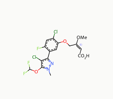 CO/C(=C/C(=O)O)COc1cc(-c2nn(C)c(OC(F)F)c2Cl)c(F)cc1Cl